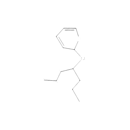 CCCC(CCC)N[C]1C=CC=CO1